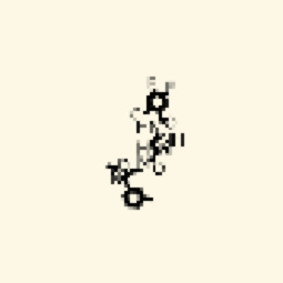 Cc1cccc(-c2nc(C)oc2CNC(=O)c2cc(NC(=O)c3cc(F)c(F)cc3Cl)[nH]n2)c1